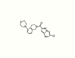 O=C(c1cc2ncc(Cl)cn2n1)N1CCc2c(cccc2N2CCOCC2)C1